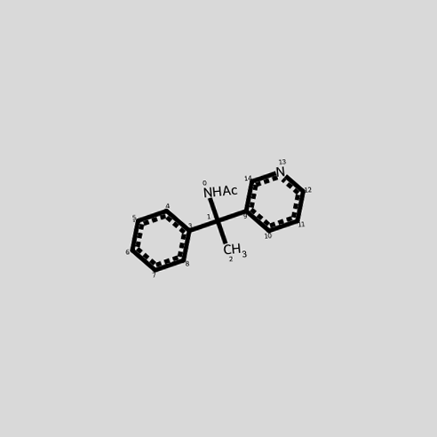 CC(=O)NC(C)(c1c[c]ccc1)c1cccnc1